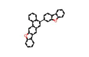 c1ccc2c(c1)oc1cc(-c3cc4cc5c(cc4c4ccccc34)oc3ccccc35)ccc12